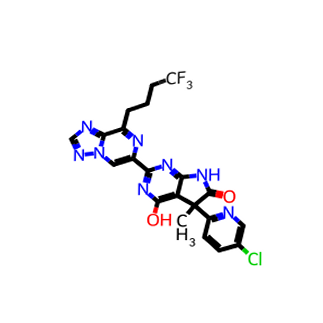 CC1(c2ccc(Cl)cn2)C(=O)Nc2nc(-c3cn4ncnc4c(CCCC(F)(F)F)n3)nc(O)c21